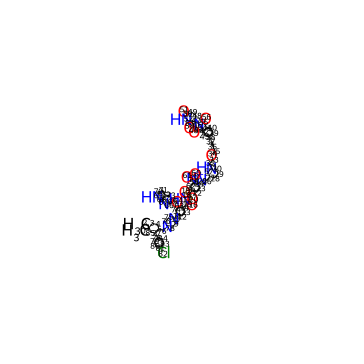 CC1(C)CCC(CN2CCN(c3ccc(C(=O)NS(=O)(=O)c4ccc(NCC5CCCN(CCOCC#Cc6ccc7c(c6)C(=O)N(C6CCC(=O)NC6=O)C7=O)C5)c([N+](=O)[O-])c4)c(Oc4cnc5[nH]ccc5c4)c3)CC2)=C(c2ccc(Cl)cc2)C1